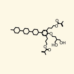 C=C(C)C(=O)OCCCc1cc(C2CCC(C3CCC(C4CCC(C)CC4)CC3)CC2)cc(CCCOC(=O)C(=C)C)c1OCCC(CO)CO